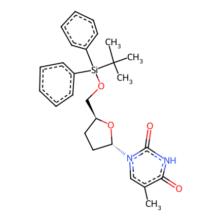 Cc1cn([C@@H]2CC[C@@H](CO[Si](c3ccccc3)(c3ccccc3)C(C)(C)C)O2)c(=O)[nH]c1=O